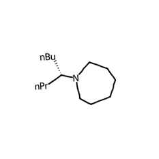 CCCC[C@@H](CCC)N1CCCCCC1